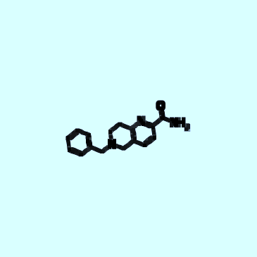 NC(=O)c1ccc2c(n1)CCN(Cc1ccccc1)C2